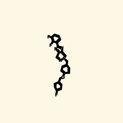 Fc1ccc(COc2ccc(Cn3cc4nc(-c5cccc(F)c5F)nc-4cn3)cc2)cc1